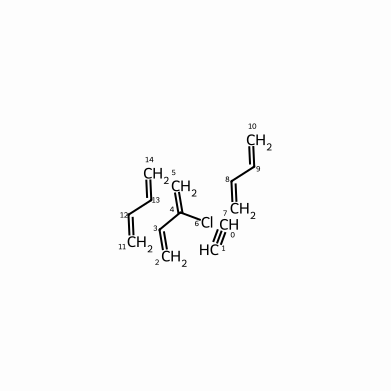 C#C.C=CC(=C)Cl.C=CC=C.C=CC=C